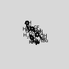 CC(C)(C)NCC(O)c1cc(O)cc(O)c1.Cc1noc(NS(=O)(=O)c2ccc(N)cc2)c1C.NS(=O)(=O)c1cc2c(cc1C(F)(F)F)NC(Cc1ccccc1)NS2(=O)=O